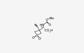 C#CC1([C@H](NC(=O)OC(C)(C)C)C(=O)O)CS(=O)(=O)C1